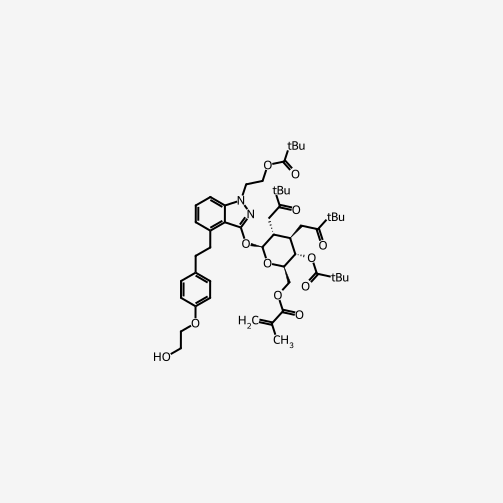 C=C(C)C(=O)OC[C@H]1O[C@@H](Oc2nn(CCOC(=O)C(C)(C)C)c3cccc(CCc4ccc(OCCO)cc4)c23)[C@H](CC(=O)C(C)(C)C)[C@@H](CC(=O)C(C)(C)C)[C@@H]1OC(=O)C(C)(C)C